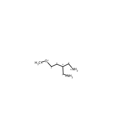 COCCC(CN)CN